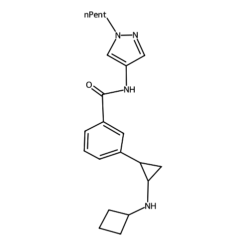 CCCCCn1cc(NC(=O)c2cccc(C3CC3NC3CCC3)c2)cn1